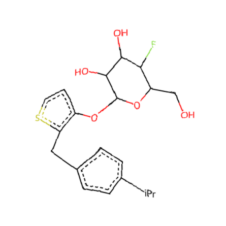 CC(C)c1ccc(Cc2sccc2OC2OC(CO)C(F)C(O)C2O)cc1